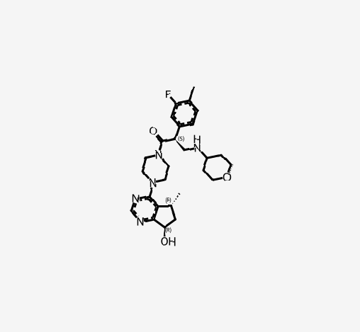 Cc1ccc([C@@H](CNC2CCOCC2)C(=O)N2CCN(c3ncnc4c3[C@H](C)C[C@H]4O)CC2)cc1F